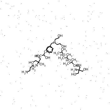 CC(C)O.CC(C)O.CC(C)O.CC(C)O.CC(N)(CO)CO.NC(CO)(CO)CO.NCCN.OCCN(CCO)Cc1ccccc1